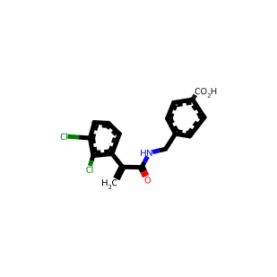 C=C(C(=O)NCc1ccc(C(=O)O)cc1)c1cc[c]c(Cl)c1Cl